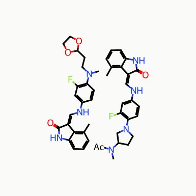 CC(=O)N(C)C1CCN(c2ccc(N/C=C3\C(=O)Nc4cccc(C)c43)cc2F)C1.Cc1cccc2c1/C(=C\Nc1ccc(N(C)CCC3OCCO3)c(F)c1)C(=O)N2